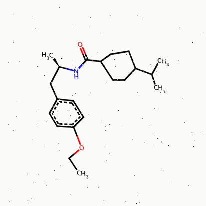 CCOc1ccc(C[C@@H](C)NC(=O)C2CCC(C(C)C)CC2)cc1